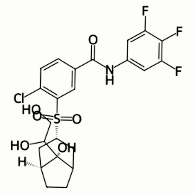 O=C(Nc1cc(F)c(F)c(F)c1)c1ccc(Cl)c(S(=O)(=O)[C@@H]2CC3CC[C@@H](C2)[C@@]3(O)C(O)CO)c1